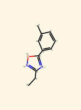 [CH2]c1cccc(-c2nc(CC)no2)c1